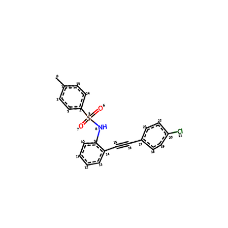 Cc1ccc(S(=O)(=O)Nc2ccccc2C#Cc2ccc(Cl)cc2)cc1